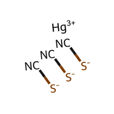 N#C[S-].N#C[S-].N#C[S-].[Hg+3]